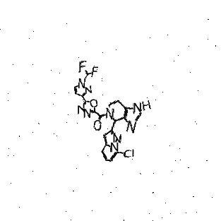 O=C(c1nnc(-c2ccn(C(F)F)n2)o1)N1CCc2[nH]cnc2C1c1cc2cccc(Cl)n2n1